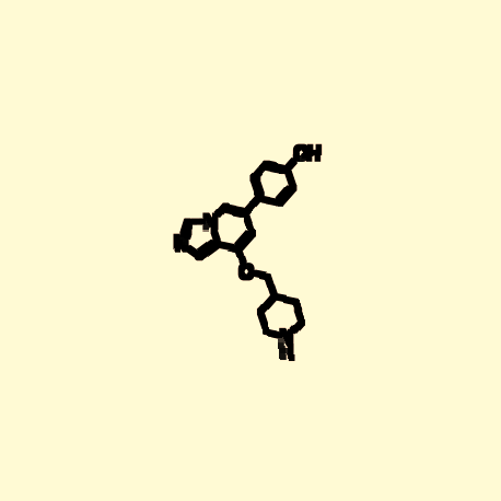 Oc1ccc(-c2cc(OCC3CCNCC3)c3cncn3c2)cc1